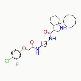 O=C(COc1ccc(Cl)c(F)c1)NC12CC(NC(=O)C3CNC4(C5CCCCCCC5)CCCCC34)(C1)C2